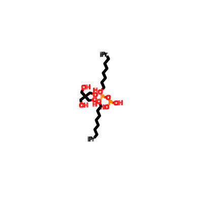 CC(C)CCCCCCCOP(OCCCCCCCC(C)C)OP(O)O.OCC(CO)(CO)CO